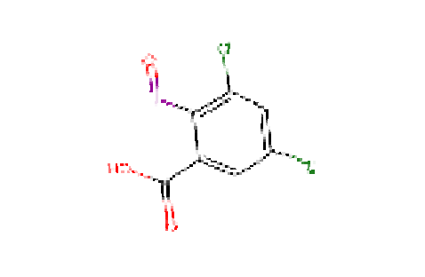 O=Ic1c(Cl)cc(Cl)cc1C(=O)O